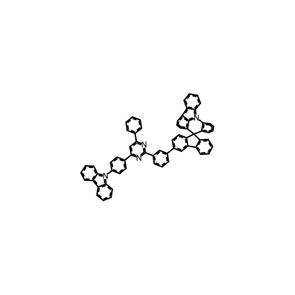 c1ccc(-c2cc(-c3ccc(-n4c5ccccc5c5ccccc54)cc3)nc(-c3cccc(-c4ccc5c(c4)-c4ccccc4C54c5ccccc5-n5c6ccccc6c6cccc4c65)c3)n2)cc1